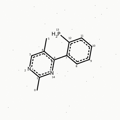 Cc1ncc(C)c(-c2ccccc2P)n1